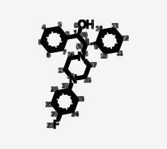 O[C@H](c1ccccc1)[C@H](c1ccccc1)N1CCN(c2ccc(F)cc2)CC1